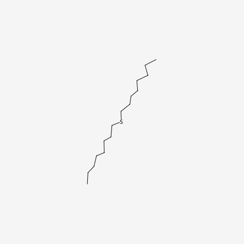 CCCCCCCCSCCCCCCCC